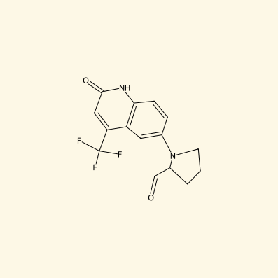 O=CC1CCCN1c1ccc2[nH]c(=O)cc(C(F)(F)F)c2c1